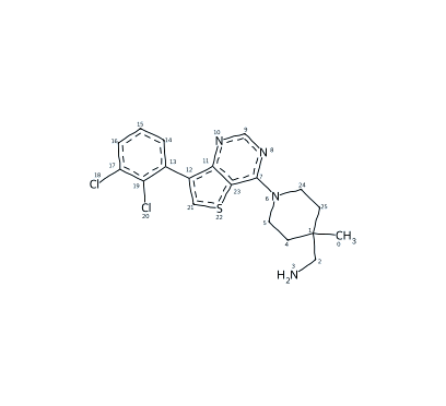 CC1(CN)CCN(c2ncnc3c(-c4cccc(Cl)c4Cl)csc23)CC1